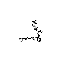 COCCCCCOCC1(CCC(=O)N2CC(OC(C)(C)C)C2)CCC1